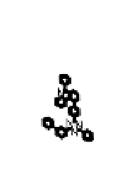 c1ccc(-c2cccc(-c3nc(-c4ccccc4)nc(-c4ccc(-c5cccc6c(-c7ccccc7)nc7ccccc7c56)cc4)n3)c2)cc1